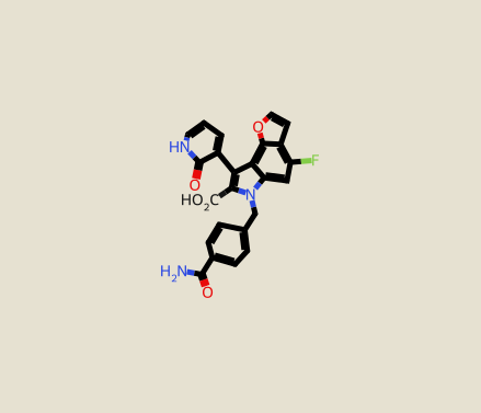 NC(=O)c1ccc(Cn2c(C(=O)O)c(-c3ccc[nH]c3=O)c3c4occc4c(F)cc32)cc1